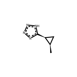 C[C@@H]1C[C@@H]1c1nnn[nH]1